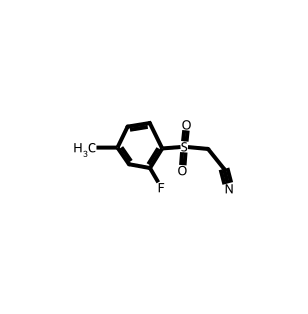 Cc1ccc(S(=O)(=O)CC#N)c(F)c1